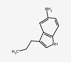 CCCc1c[nH]c2ccc(N)cc12